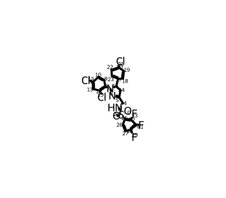 O=S(=O)(NCC1=NN(c2ccc(Cl)cc2Cl)C(c2ccc(Cl)cc2)C1)c1ccc(F)c(F)c1F